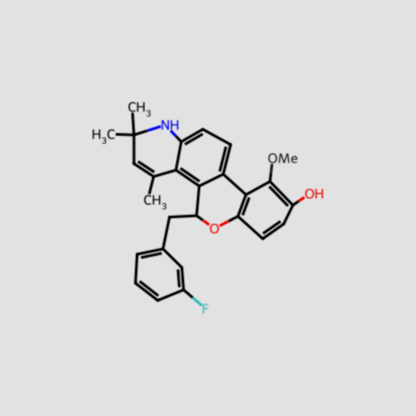 COc1c(O)ccc2c1-c1ccc3c(c1C(Cc1cccc(F)c1)O2)C(C)=CC(C)(C)N3